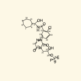 O=C(NC(O)C1CCCCCC1)c1cc(-n2ncc(=O)n(CC(O)COC(F)(F)F)c2=O)ccc1Cl